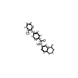 CC1CCCc2ccc(NC(=O)c3ccc(-c4ncccc4Cl)cn3)cc21